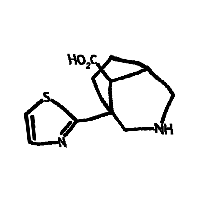 O=C(O)C1C2CCC1(c1nccs1)CNC2